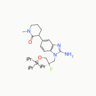 CC(C)[Si](OC[C@](C)(F)Cn1c(N)nc2cc(C3CCCN(C)C3=O)ccc21)(C(C)C)C(C)C